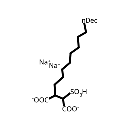 CCCCCCCCCCCCCCCCCCC(C(=O)[O-])C(C(=O)[O-])S(=O)(=O)O.[Na+].[Na+]